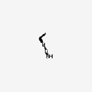 B=BB=CC